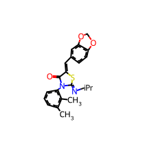 Cc1cccc(N2C(=O)/C(=C/c3ccc4c(c3)OCO4)S/C2=N\C(C)C)c1C